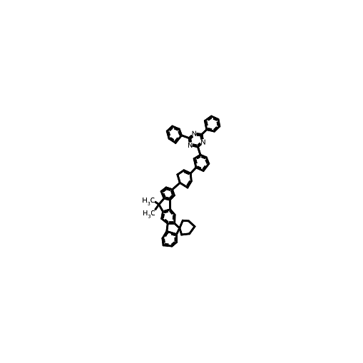 CC1(C)c2ccc(C3C=CC(c4cccc(-c5nc(-c6ccccc6)nc(-c6ccccc6)n5)c4)=CC3)cc2-c2cc3c(cc21)-c1ccccc1C31CCCCC1